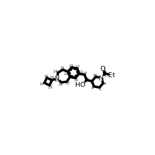 CCC(=O)N1CCCC(C(O)Cc2ccc3c(c2)CCN(C2CCC2)CC3)C1